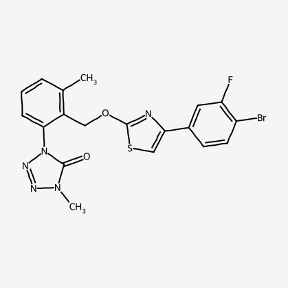 Cc1cccc(-n2nnn(C)c2=O)c1COc1nc(-c2ccc(Br)c(F)c2)cs1